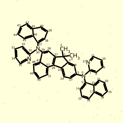 CC1(C)c2cc(N(c3ccccn3)c3cccc4ccccc34)ccc2-c2c1cc(N(c1ccccn1)c1cccc3ccccc13)c1ccccc21